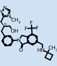 Cn1cnnc1C[C@@H](CO)Cc1cccc(N2Cc3c(cc(CNC4(C)CCC4)cc3C(F)(F)F)C2=O)c1